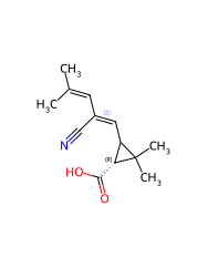 CC(C)=C/C(C#N)=C/C1[C@@H](C(=O)O)C1(C)C